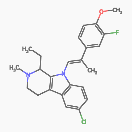 CCC1c2c(c3cc(Cl)ccc3n2C=C(C)c2ccc(OC)c(F)c2)CCN1C